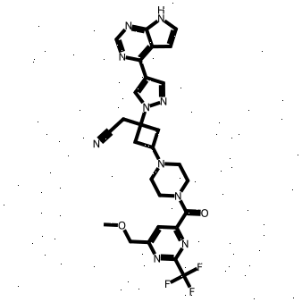 COCc1cc(C(=O)N2CCN(C3CC(CC#N)(n4cc(-c5ncnc6[nH]ccc56)cn4)C3)CC2)nc(C(F)(F)F)n1